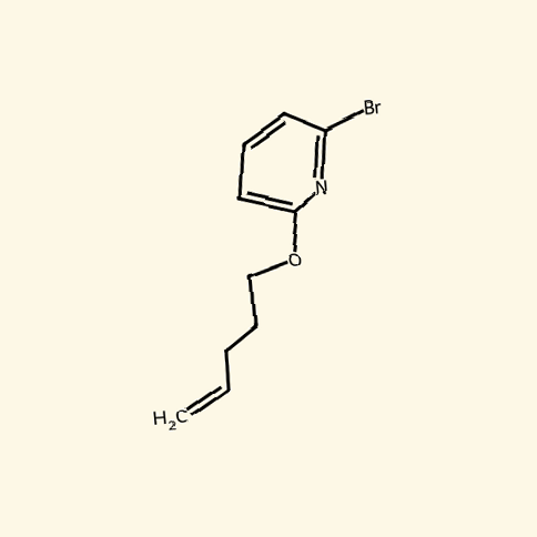 C=CCCCOc1cccc(Br)n1